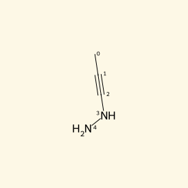 CC#CNN